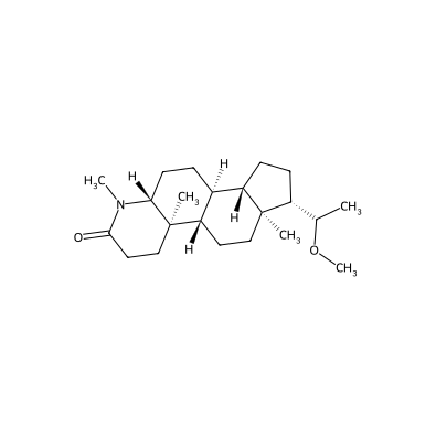 COC(C)[C@H]1CC[C@H]2[C@@H]3CC[C@H]4N(C)C(=O)CC[C@]4(C)[C@H]3CC[C@]12C